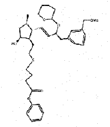 COCc1cccc(C[C@@H](/C=C/[C@@H]2[C@@H](CCSCCCC(=O)Oc3ccccc3)[C@@H](O)C[C@H]2C)OC2CCCCO2)c1